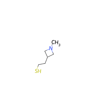 CN1CC(CCS)C1